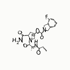 C=CC(=O)N[C@H](C)C(=O)N1C[C@H](OC(=O)N2Cc3cccc(F)c3C2)CC1C(N)=O